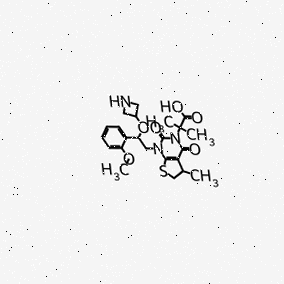 COc1ccccc1C(Cn1c2c(c(=O)n(C(C)(C)C(=O)O)c1=O)C(C)CS2)OC1CNC1